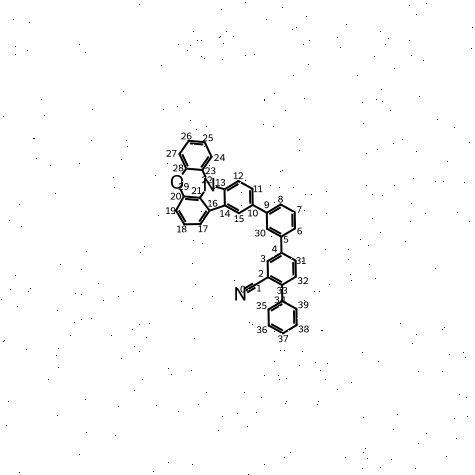 N#Cc1cc(-c2cccc(-c3ccc4c(c3)c3cccc5c3n4-c3ccccc3O5)c2)ccc1-c1ccccc1